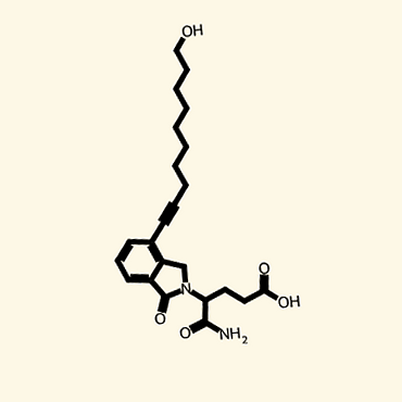 NC(=O)C(CCC(=O)O)N1Cc2c(C#CCCCCCCCCO)cccc2C1=O